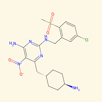 CS(=O)(=O)c1ccc(Cl)cc1CNc1nc(N)c([N+](=O)[O-])c(C[C@H]2CC[C@H](N)CC2)n1